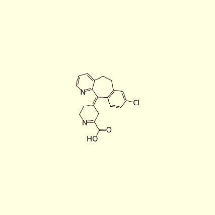 O=C(O)C1=NCCC(=C2c3ccc(Cl)cc3CCc3cccnc32)C1